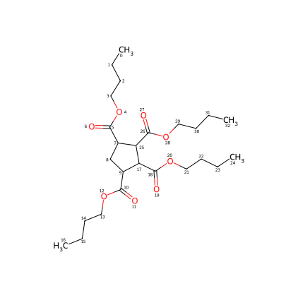 CCCCOC(=O)C1CC(C(=O)OCCCC)C(C(=O)OCCCC)C1C(=O)OCCCC